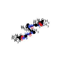 CCc1cc(C(C)C)cc(C(C)C)c1S(=O)(=O)N/N=C/c1ccc(CCNC(=O)CCN2/C(=C/C=C/C=C/C3=[N+](CCC(=O)NCCc4ccc(/C=N/NS(=O)(=O)c5c(C(C)C)cc(C(C)C)cc5C(C)C)cc4)c4ccccc4C3(C)C)C(C)(C)c3ccccc32)cc1